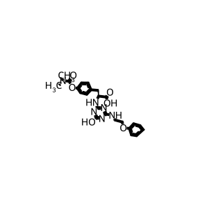 CN(C)C(=O)Oc1ccc(C[C@H](Nc2nc(O)nc(NCCOc3ccccc3)n2)C(=O)O)cc1